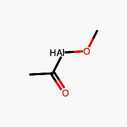 C[O][AlH][C](C)=O